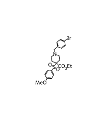 CCOC(=O)C1(S(=O)(=O)c2ccc(OC)cc2)CCN(Cc2ccc(Br)cc2)CC1